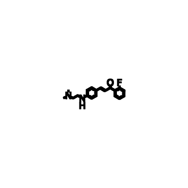 CN(C)CCNc1ccc(/C=C/C(=O)c2ccccc2F)cc1